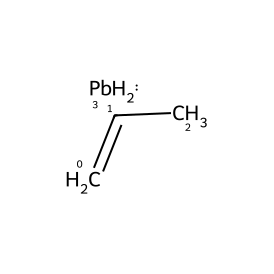 C=CC.[PbH2]